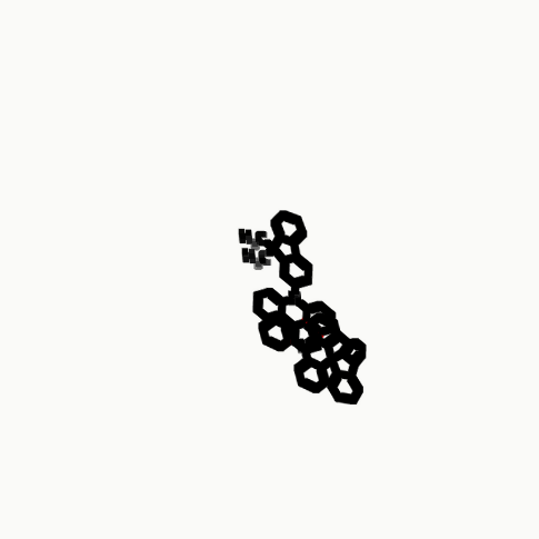 CC1(C)c2ccccc2-c2ccc(N(c3ccc(-c4cccc5c4C4(c6ccccc6-5)c5ccccc5N(c5ccccc5)c5ccccc54)cc3)c3ccccc3-c3ccccc3)cc21